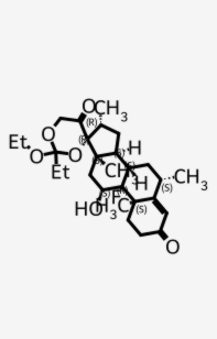 CCOC1(CC)OCC(=O)[C@@]2(O1)[C@H](C)C[C@H]1[C@@H]3C[C@H](C)C4=CC(=O)CC[C@]4(C)[C@@]3(F)[C@@H](O)C[C@@]12C